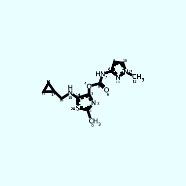 Cc1nc(OC(=O)Nc2ccn(C)n2)c(NCC2CC2)s1